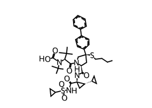 CCCCS[C@@]1(c2ccc(-c3ccccc3)cc2)C[C@@H](C(=O)N[C@]2(C(=O)NS(=O)(=O)C3CC3)C[C@H]2C2CC2)N(C(=O)[C@@H](N(C(=O)O)C(C)(C)C)C(C)(C)C)C1